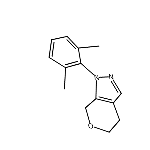 Cc1cccc(C)c1-n1ncc2c1COCC2